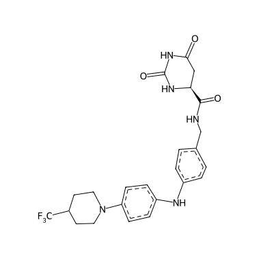 O=C1C[C@@H](C(=O)NCc2ccc(Nc3ccc(N4CCC(C(F)(F)F)CC4)cc3)cc2)NC(=O)N1